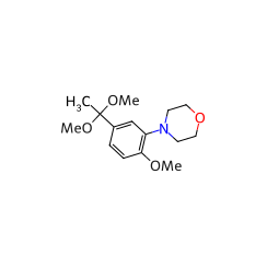 COc1ccc(C(C)(OC)OC)cc1N1CCOCC1